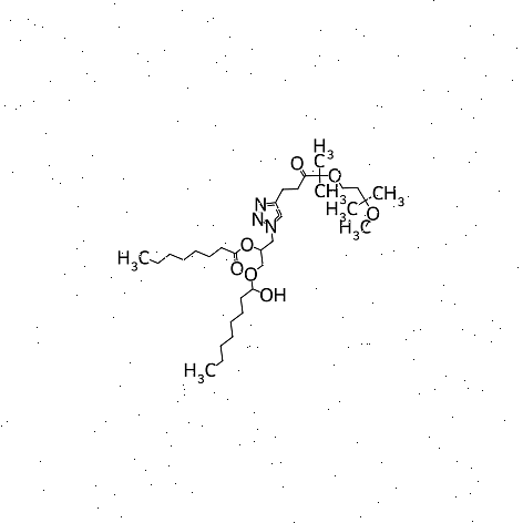 CCCCCCCC(=O)OC(COC(O)CCCCCCC)Cn1cc(CCC(=O)C(C)(C)OCCC(C)(C)OC)nn1